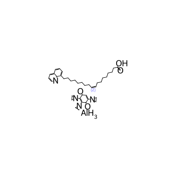 O=C(O)CCCCCCC/C=C\CCCCCCCCc1cccc2cccnc12.O=C1C=C(N2CC2)C(=O)C(N2CC2)=C1N1CC1.[AlH3]